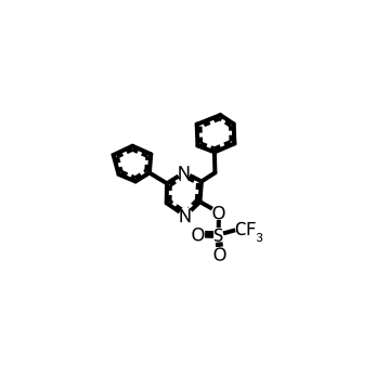 O=S(=O)(Oc1ncc(-c2ccccc2)nc1Cc1ccccc1)C(F)(F)F